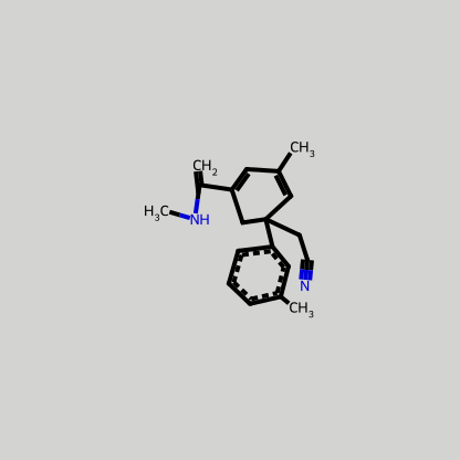 C=C(NC)C1=CC(C)=CC(CC#N)(c2cccc(C)c2)C1